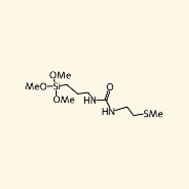 CO[Si](CCCNC(=O)NCCSC)(OC)OC